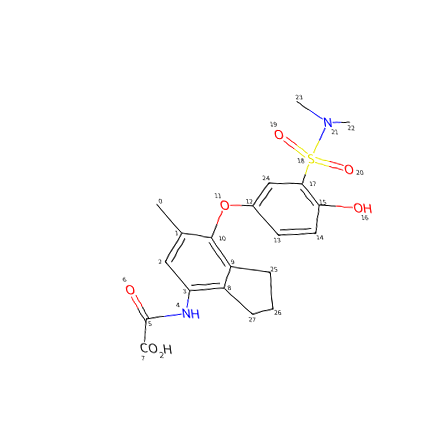 Cc1cc(NC(=O)C(=O)O)c2c(c1Oc1ccc(O)c(S(=O)(=O)N(C)C)c1)CCC2